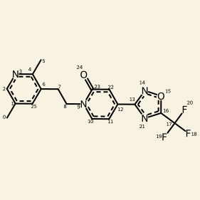 Cc1cnc(C)c(CCn2ccc(-c3noc(C(F)(F)F)n3)cc2=O)c1